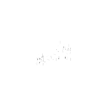 [2H]C([2H])([2H])N(C(=O)c1ccc(C2=CCN(C(C)c3cc4c(B(O)O)ccnc4n3C)CC2)c(C)c1)C([2H])([2H])[2H]